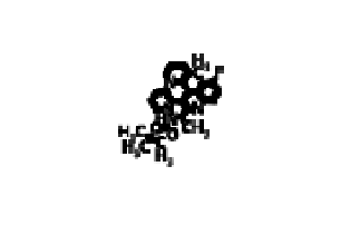 Cc1cccnc1-c1c(-c2ccccn2)c(C(C)NC(=O)OC(C)(C)C)nc2ccc(F)cc12